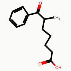 CC(CCCCC(=O)O)C(=O)c1ccccc1